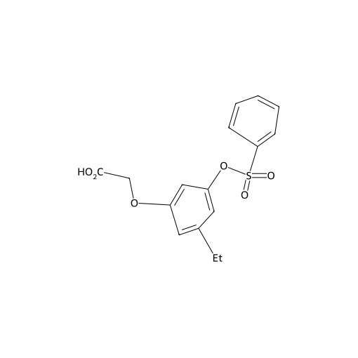 CCc1cc(OCC(=O)O)cc(OS(=O)(=O)c2ccccc2)c1